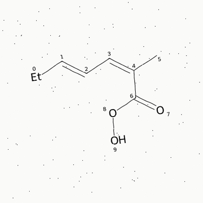 CCC=CC=C(C)C(=O)OO